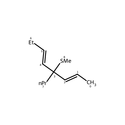 CC=CC(C=CCC)(CCC)SC